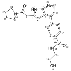 O=C(Cc1cc2c(-c3ccc([S@+]([O-])NCCO)cc3)ccnc2[nH]1)N1CCCC1